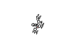 O=C(N[C@@](Cc1ccccc1)(c1cc(F)cc(OC(F)(F)C(F)F)c1)c1ccc(F)c(C(F)(F)F)c1)c1ccc(F)c(C(F)(F)F)c1